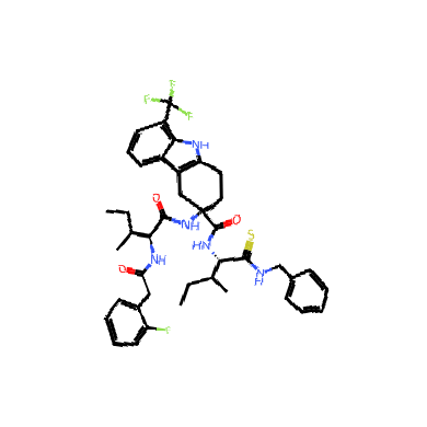 CCC(C)[C@H](NC(=O)Cc1ccccc1F)C(=O)N[C@]1(C(=O)N[C@H](C(=S)NCc2ccccc2)C(C)CC)CCc2[nH]c3c(C(F)(F)F)cccc3c2C1